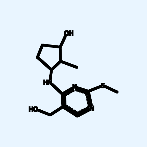 CSc1ncc(CO)c(NC2CCC(O)C2C)n1